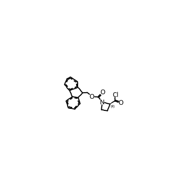 O=C(Cl)[C@H]1CCN1C(=O)OCC1c2ccccc2-c2ccccc21